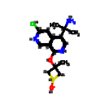 CC1(Oc2ncc(C(C)(C)N)c3cc(Cl)ncc23)C[S+]([O-])C1